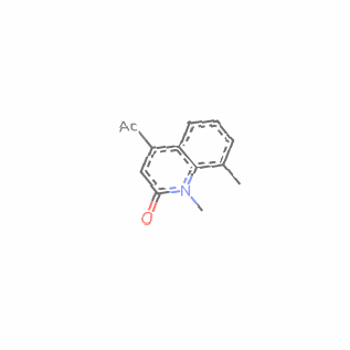 CC(=O)c1cc(=O)n(C)c2c(C)cccc12